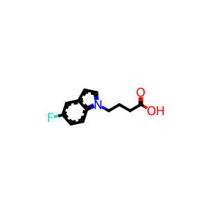 O=C(O)CCCn1ccc2cc(F)ccc21